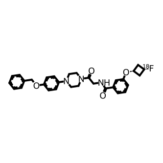 O=C(NCC(=O)N1CCN(c2ccc(OCc3ccccc3)cc2)CC1)c1cccc(O[C@H]2C[C@@H]([18F])C2)c1